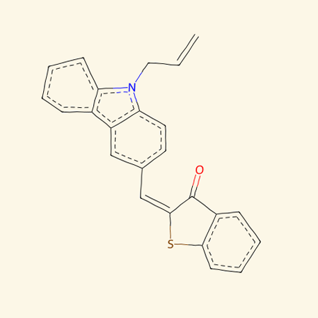 C=CCn1c2ccccc2c2cc(/C=C3/Sc4ccccc4C3=O)ccc21